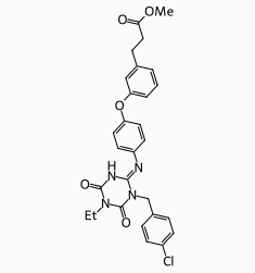 CCn1c(=O)[nH]/c(=N\c2ccc(Oc3cccc(CCC(=O)OC)c3)cc2)n(Cc2ccc(Cl)cc2)c1=O